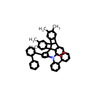 Cc1cc2c(cc1C)C13c4cc(C)c(C)cc4C14c1cc(-c5ccccc5-c5ccccc5)ccc1N(c1ccccc1-c1ccccc1)c1cccc(c14)C23